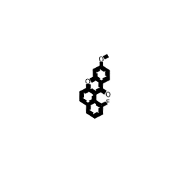 COc1ccc2c(=O)c3c(ccc4cccc(F)c43)oc2c1